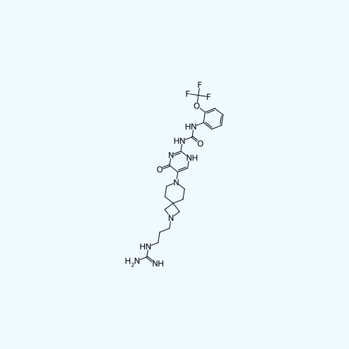 N=C(N)NCCCN1CC2(CCN(c3c[nH]c(NC(=O)Nc4ccccc4OC(F)(F)F)nc3=O)CC2)C1